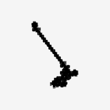 CC[C@H](CCC(=O)NCc1cnc2cc(F)c(C)c3c2c1[C@@H](NC(=O)C1(OCNC(=O)CNC(=O)[C@H](Cc2ccccc2)NC(=O)CNC(=O)CNC(=O)COCCOCCOCCOCCOCCOCCOCCOCCOCCNC(=O)C2CCCCC2)CC1)CC3)C(=O)O